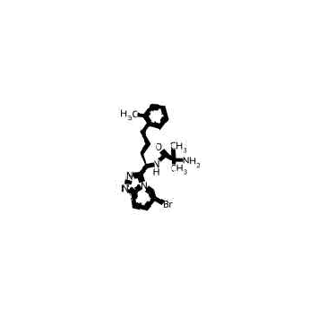 Cc1ccccc1CCC[C@@H](NC(=O)C(C)(C)N)c1nnc2ccc(Br)cn12